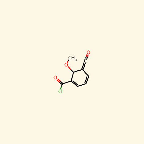 COC1C(=C=O)C=CC=C1C(=O)Cl